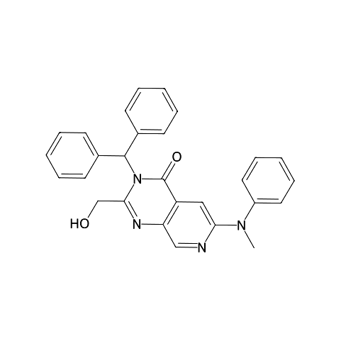 CN(c1ccccc1)c1cc2c(=O)n(C(c3ccccc3)c3ccccc3)c(CO)nc2cn1